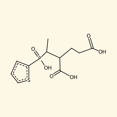 CC(C(CCC(=O)O)C(=O)O)P(=O)(O)c1cccs1